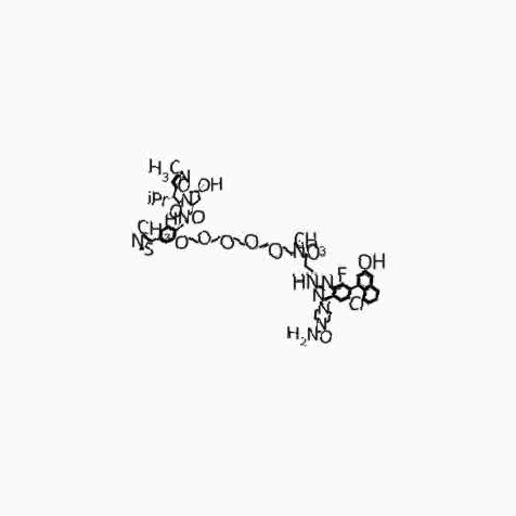 Cc1cc([C@H](C(=O)N2C[C@H](O)C[C@H]2C(=O)NCc2ccc(-c3scnc3C)cc2OCCOCCOCCOCCOCCN(C)C(=O)CCNc2nc(N3CCN(C(N)=O)CC3)c3cc(Cl)c(-c4cc(O)cc5ccccc45)c(F)c3n2)C(C)C)on1